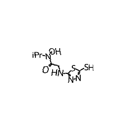 CC(C)N(O)C(=O)CNc1nnc(S)s1